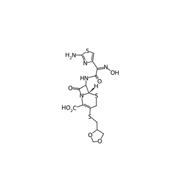 Nc1nc(/C(=N/O)C(=O)NC2C(=O)N3C(C(=O)O)=C(SCC4COCO4)CS[C@@H]23)cs1